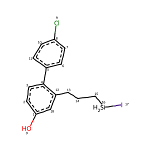 Oc1ccc(-c2ccc(Cl)cc2)c(CCC[SiH2]I)c1